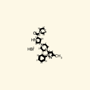 Br.Cc1cc(N2CCN([C@@H]3CN[C@H](C(=O)N4CCSC4)C3)CC2)n(-c2ccccc2)n1